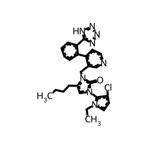 CCCCc1cn(-c2c(Cl)ccn2CC)c(=O)n1Cc1cnccc1-c1ccccc1-c1nnn[nH]1